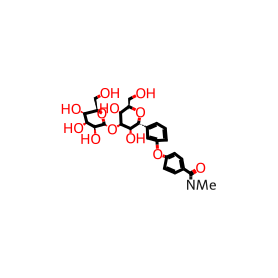 CNC(=O)c1ccc(Oc2cccc([C@H]3O[C@H](CO)[C@@H](O)[C@H](O[C@H]4O[C@H](CO)[C@@H](O)[C@H](O)[C@@H]4O)[C@@H]3O)c2)cc1